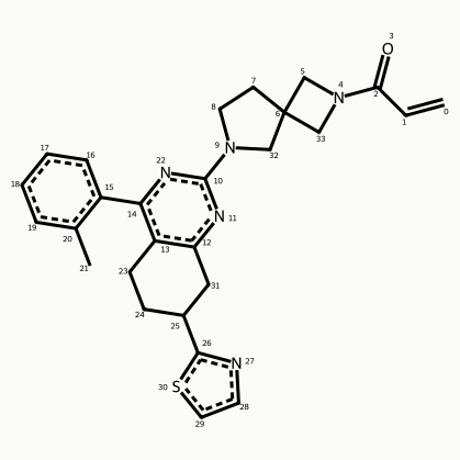 C=CC(=O)N1CC2(CCN(c3nc4c(c(-c5ccccc5C)n3)CCC(c3nccs3)C4)C2)C1